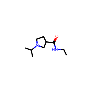 CCNC(=O)C1CCN(C(C)C)C1